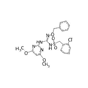 COc1cc(OC)nc(NC(=NOCc2ccccc2)NS(=O)(=O)Cc2ccccc2Cl)n1